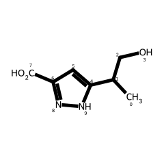 CC(CO)c1cc(C(=O)O)n[nH]1